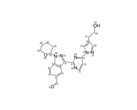 O=Cc1ccc2c(c1)c(-c1nccc(-n3cc(CCO)cn3)n1)nn2C1CCCCO1